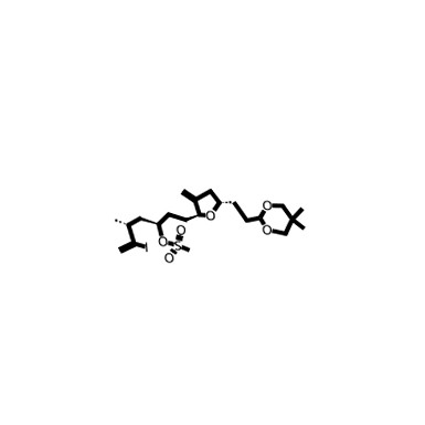 C=C(I)[C@H](C)C[C@@H](CC[C@@H]1O[C@@H](CCC2OCC(C)(C)CO2)CC1=C)OS(C)(=O)=O